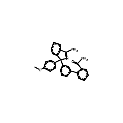 COc1ccc(C2(c3cccc(-c4ccccc4C(N)=O)c3)N=C(N)c3ccccc32)cc1